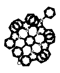 N#Cc1cccc(-c2c(-n3c4ccccc4c4ccccc43)c(-n3c4ccccc4c4ccccc43)c(-n3c4ccccc4c4c3c3ccccc3n4-c3ccccc3)c(-n3c4ccccc4c4ccccc43)c2-n2c3ccccc3c3ccccc32)c1